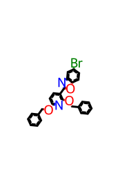 Brc1ccc2oc(-c3ccc(OCc4ccccc4)nc3OCc3ccccc3)nc2c1